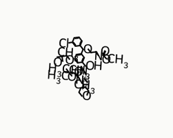 COC(=O)NCCOC(c1cccc(Cl)c1)c1cc(OCC2(C)COC2)cc(C(=O)NC[C@H](C[C@H]2CCCOC2)N(C)C(=O)OC(C)(C)C)c1